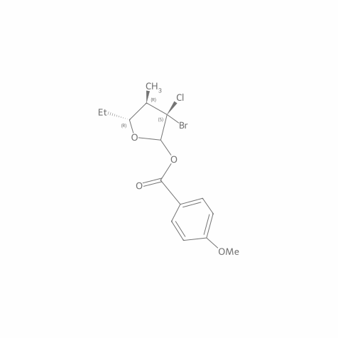 CC[C@H]1OC(OC(=O)c2ccc(OC)cc2)[C@@](Cl)(Br)[C@@H]1C